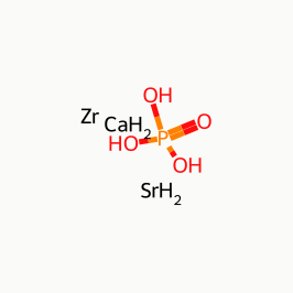 O=P(O)(O)O.[CaH2].[SrH2].[Zr]